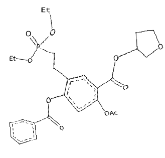 CCOP(=O)(CCc1cc(C(=O)OC2CCOC2)c(OC(C)=O)cc1OC(=O)c1ccccc1)OCC